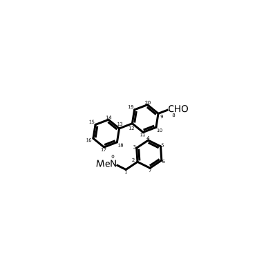 CNCc1ccccc1.O=Cc1ccc(-c2ccccc2)cc1